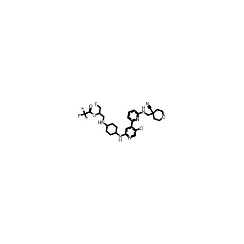 N#CC1(CNc2cccc(-c3cc(NC4CCC(NCC(CF)OC(=O)C(F)(F)F)CC4)ncc3Cl)n2)CCOCC1